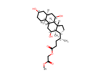 CC(C)OC(=O)COC(=O)CC[C@@H](C)[C@H]1CC[C@H]2[C@@H]3[C@H](O)C[C@@H]4C[C@H](O)CC[C@]4(C)[C@H]3C[C@H](O)[C@]12C